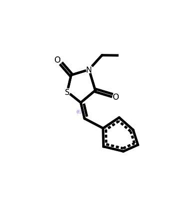 CCN1C(=O)S/C(=C/c2ccccc2)C1=O